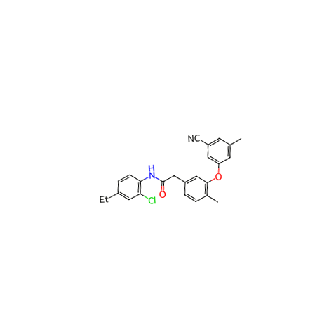 CCc1ccc(NC(=O)Cc2ccc(C)c(Oc3cc(C)cc(C#N)c3)c2)c(Cl)c1